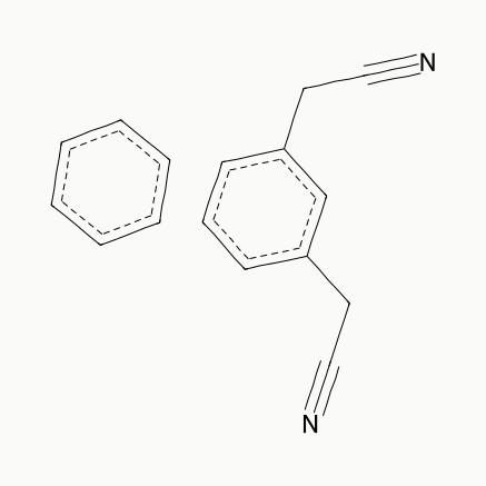 N#CCc1cccc(CC#N)c1.c1ccccc1